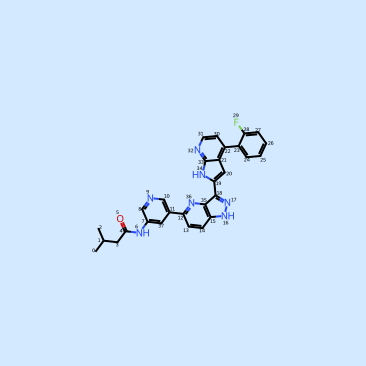 CC(C)CC(=O)Nc1cncc(-c2ccc3[nH]nc(-c4cc5c(-c6ccccc6F)ccnc5[nH]4)c3n2)c1